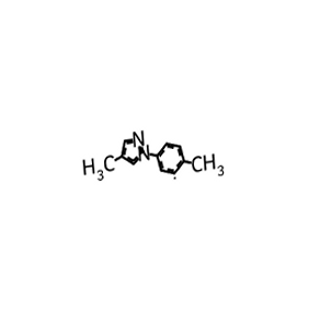 Cc1[c]cc(-n2cc(C)cn2)cc1